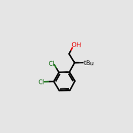 CC(C)(C)[C](CO)c1cccc(Cl)c1Cl